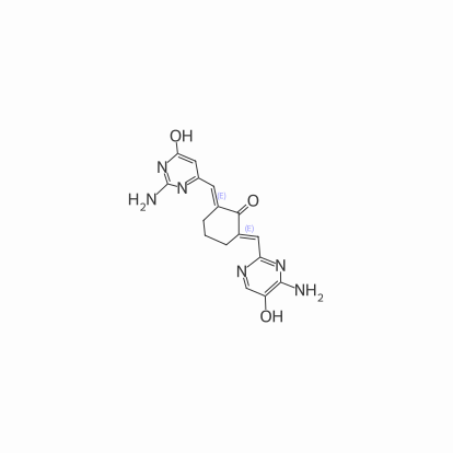 Nc1nc(O)cc(/C=C2\CCC/C(=C\c3ncc(O)c(N)n3)C2=O)n1